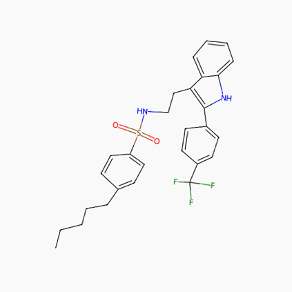 CCCCCc1ccc(S(=O)(=O)NCCc2c(-c3ccc(C(F)(F)F)cc3)[nH]c3ccccc23)cc1